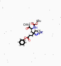 COC(=O)[C@H](CC(CCC(=O)Oc1ccccc1)(CC(F)(F)F)N=[N+]=[N-])NC(=O)OC(C)(C)C